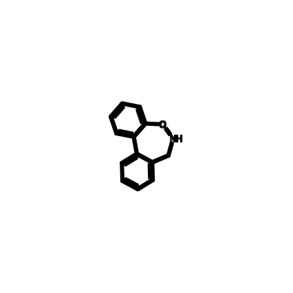 c1ccc2c(c1)CNOc1ccccc1-2